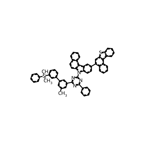 Cc1cc(-c2cccc([Si](C)(C)c3ccccc3)c2)cc(-c2nc(-c3ccccc3)nc(-n3c4ccc(-c5cc6sc7ccccc7c6c6ccccc56)cc4c4c5ccccc5ccc43)n2)c1